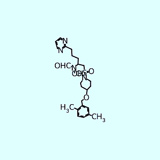 Cc1ccc(C)c(COC2CCN(S(=O)(=O)CC(CCCc3ncccn3)N(O)C=O)CC2)c1